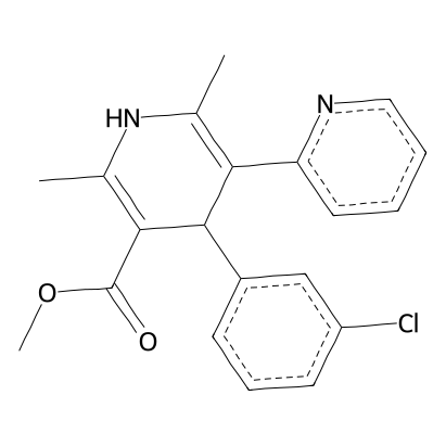 COC(=O)C1=C(C)NC(C)=C(c2ccccn2)C1c1cccc(Cl)c1